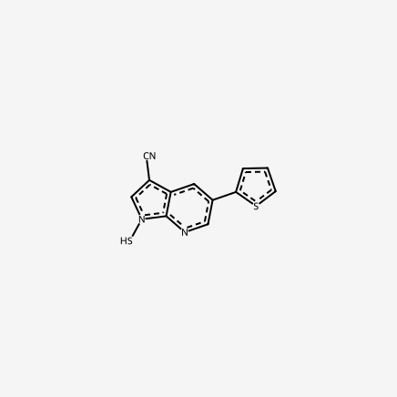 N#Cc1cn(S)c2ncc(-c3cccs3)cc12